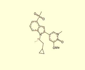 COc1cc(-c2cc3c(S(C)(=O)=O)cccc3n2[C@@H](C)CC2CC2)cn(C)c1=O